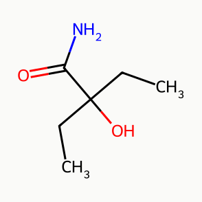 CCC(O)(CC)C(N)=O